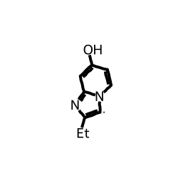 CCc1[c]n2ccc(O)cc2n1